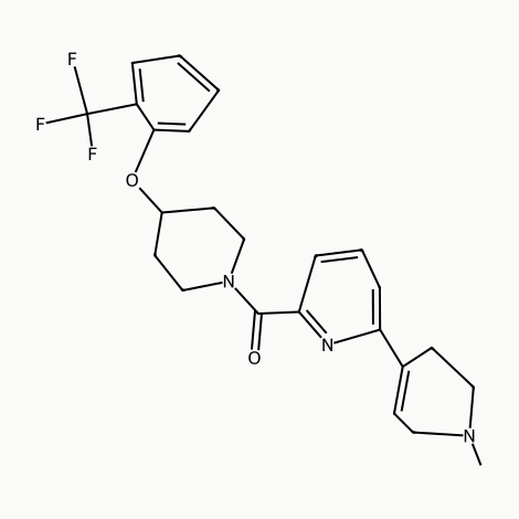 CN1CC=C(c2cccc(C(=O)N3CCC(Oc4ccccc4C(F)(F)F)CC3)n2)CC1